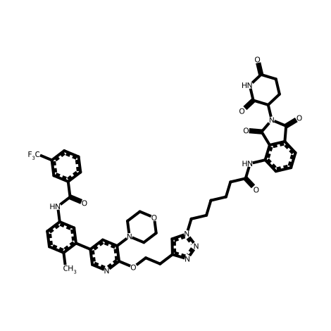 Cc1ccc(NC(=O)c2cccc(C(F)(F)F)c2)cc1-c1cnc(OCCc2cn(CCCCCC(=O)Nc3cccc4c3C(=O)N(C3CCC(=O)NC3=O)C4=O)nn2)c(N2CCOCC2)c1